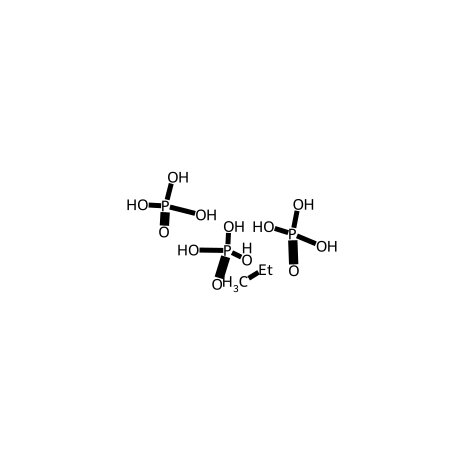 CCC.O=P(O)(O)O.O=P(O)(O)O.O=P(O)(O)O